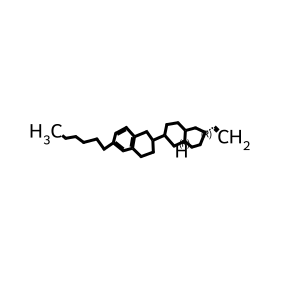 C=C[C@@H]1CC[C@@H]2CC(C3CCc4cc(CCCCCC)ccc4C3)CCC2C1